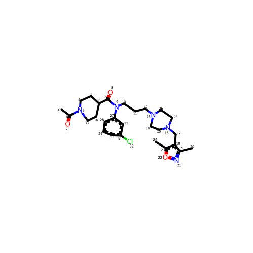 CC(=O)N1CCC(C(=O)N(CCCN2CCN(Cc3c(C)noc3C)CC2)c2cccc(Cl)c2)CC1